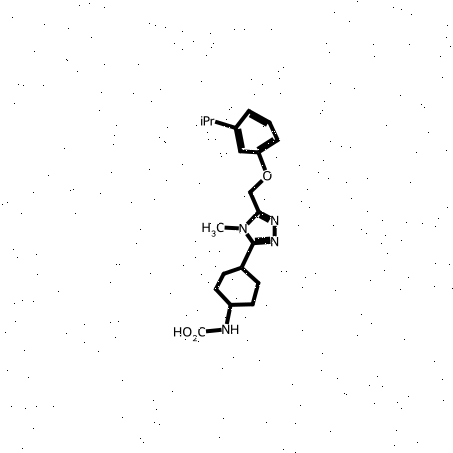 CC(C)c1cccc(OCc2nnc(C3CCC(NC(=O)O)CC3)n2C)c1